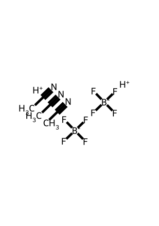 CC#N.CC#N.CC#N.F[B-](F)(F)F.F[B-](F)(F)F.[H+].[H+]